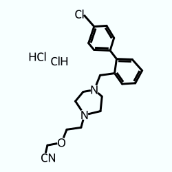 Cl.Cl.N#CCOCCN1CCN(Cc2ccccc2-c2ccc(Cl)cc2)CC1